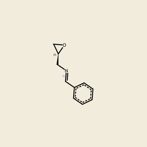 C(=N\C[C@H]1CO1)/c1ccccc1